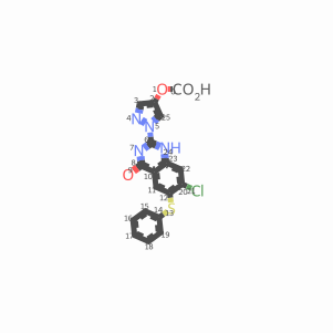 O=C(O)Oc1cnn(-c2nc(=O)c3cc(Sc4ccccc4)c(Cl)cc3[nH]2)c1